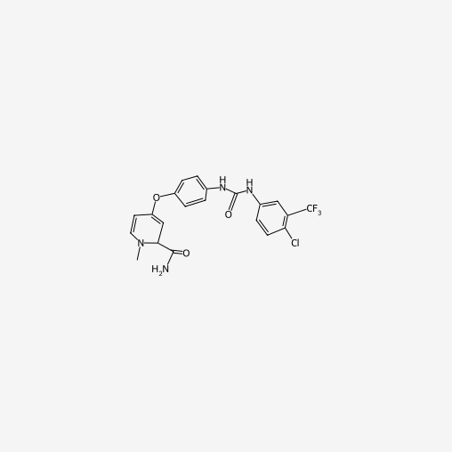 CN1C=CC(Oc2ccc(NC(=O)Nc3ccc(Cl)c(C(F)(F)F)c3)cc2)=CC1C(N)=O